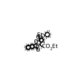 CCOC(=O)CC(c1ccc(OC2CCCCC2)c(OCC)c1)N1C(=O)c2cc3ccccc3cc2C1=O